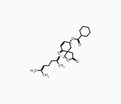 CC(C)=CCC/C(C)=C/[C@H]1OC(=O)CC12C[C@H](OC(=O)C1CCCCC1)C=CC2=O